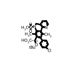 Cc1c(-c2ccc(Cl)cc2)c([C@H](OC(C)(C)C)C(=O)O)c(C)c2c1-c1ncccc1CN2S(C)(=O)=O